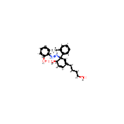 O=[N+]([O-])c1ccccc1C1(N=Nc2ccccc2O)C=C(CCCCO)C=CC1O